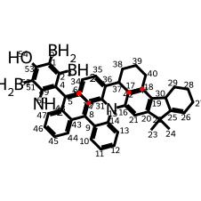 Bc1c(B)c(-c2ccc(-c3ccccc3N(c3ccc4c(c3)C(C)(C)C3=CCCCC34)c3ccccc3C3CCCCC3)c3ccccc23)c(N)c(B)c1O